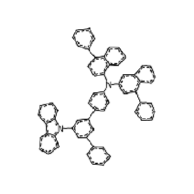 c1ccc(-c2cc(-c3ccc(N(c4cc(-c5ccccc5)c5ccccc5c4)c4ccc(-c5ccccc5)c5ccccc45)cc3)cc(-n3c4ccccc4c4ccccc43)c2)cc1